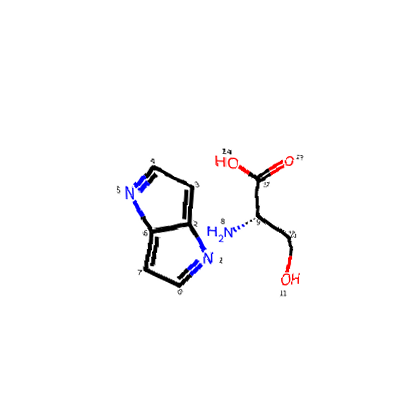 C1=NC2=CC=NC2=C1.N[C@@H](CO)C(=O)O